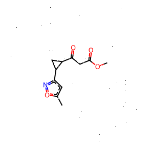 COC(=O)CC(=O)C1CC1c1cc(C)on1